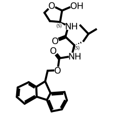 CC(C)C[C@H](NC(=O)OCC1c2ccccc2-c2ccccc21)C(=O)N[C@H]1CCOC1O